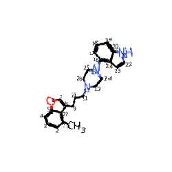 Cc1cccc2occ(CCCN3CCN(c4cccc5[nH]ccc45)CC3)c12